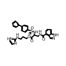 O=C(NCC(NS(=O)(=O)c1ccc(-c2ccccc2)cc1)C(=O)OCCCNc1ncc[nH]1)c1cccc2[nH]ncc12